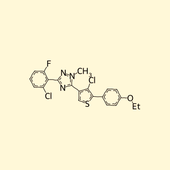 CCOc1ccc(-c2scc(-c3nc(-c4c(F)cccc4Cl)nn3C)c2Cl)cc1